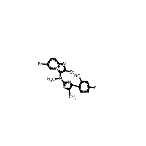 CCc1nc2ccc(Br)cn2c1N(C)c1nc(-c2ccc(F)cc2C#N)c(C)s1